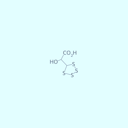 O=C(O)C(O)C1SSSS1